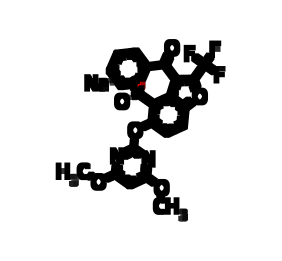 COc1cc(OC)nc(Oc2ccc3oc(C(F)(F)F)c(C(=O)c4ccccc4)c3c2C(=O)[O-])n1.[Na+]